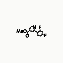 COC(=O)c1ccnc(-c2ccc(F)cc2F)c1